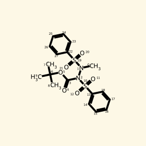 CN(N(C(=O)OC(C)(C)C)S(=O)(=O)c1ccccc1)S(=O)(=O)c1ccccc1